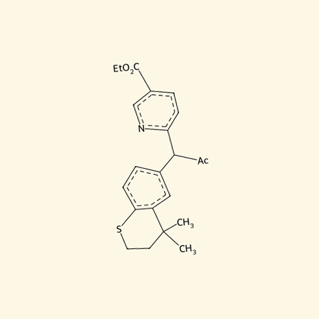 CCOC(=O)c1ccc(C(C(C)=O)c2ccc3c(c2)C(C)(C)CCS3)nc1